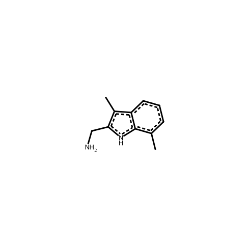 Cc1c(CN)[nH]c2c(C)cccc12